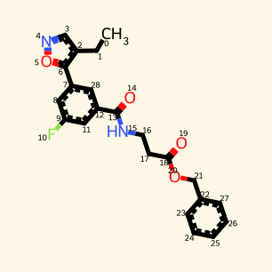 CCc1cnoc1-c1cc(F)cc(C(=O)NCCC(=O)OCc2ccccc2)c1